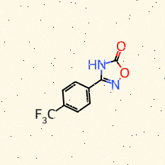 O=c1[nH]c(-c2ccc(C(F)(F)F)cc2)no1